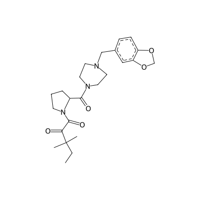 CCC(C)(C)C(=O)C(=O)N1CCCC1C(=O)N1CCN(Cc2ccc3c(c2)OCO3)CC1